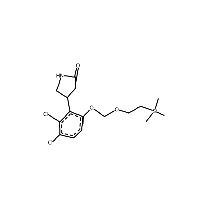 C[Si](C)(C)CCOCOc1ccc(Cl)c(Cl)c1C1CNC(=O)C1